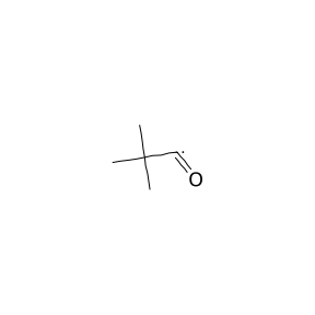 CC(C)(C)[C]=O